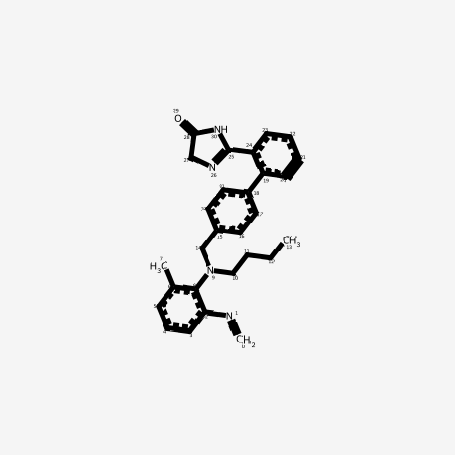 C=Nc1cccc(C)c1N(CCCC)Cc1ccc(-c2c#cccc2C2=NCC(=O)N2)cc1